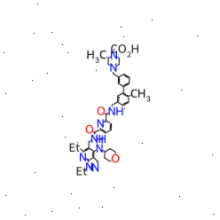 CCc1nc2c(cnn2CC)c(NC2CCOCC2)c1CNC(=O)c1cccc(C(=O)NCc2ccc(C)c(-c3cccc(CN4CCN(C(=O)O)[C@@H](C)C4)c3)c2)n1